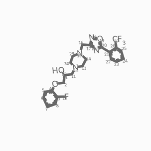 O[C@@H](COc1ccccc1F)CN1CCN(Cc2noc(-c3ccccc3C(F)(F)F)n2)CC1